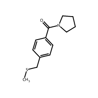 CSCc1ccc(C(=O)N2CCCC2)cc1